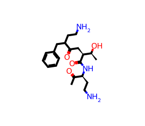 CC(=O)[C@H](CCN)NC(=O)[C@@H](CC(=O)C(CCN)Cc1ccccc1)[C@H](C)O